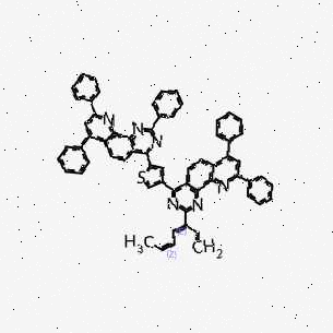 C=C/C(=C\C=C/C)c1nc(-c2csc(-c3nc(-c4ccccc4)nc4c3ccc3c(-c5ccccc5)cc(-c5ccccc5)nc34)c2)c2ccc3c(-c4ccccc4)cc(-c4ccccc4)nc3c2n1